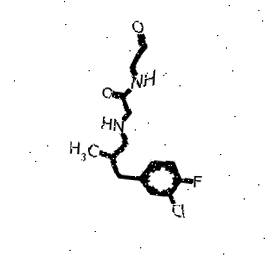 CC(CNCC(=O)NCC=O)Cc1ccc(F)c(Cl)c1